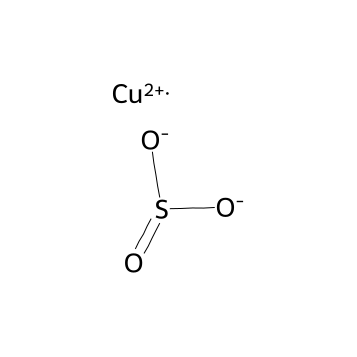 O=S([O-])[O-].[Cu+2]